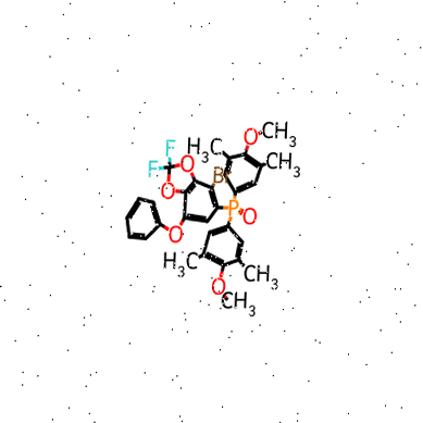 COc1c(C)cc(P(=O)(c2cc(C)c(OC)c(C)c2)c2cc(Oc3ccccc3)c3c(c2Br)OC(F)(F)O3)cc1C